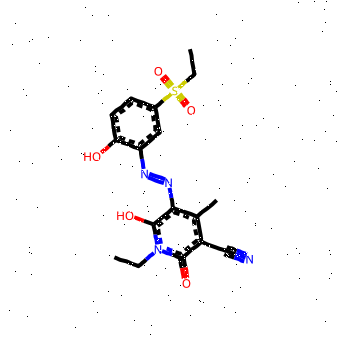 CCn1c(O)c(N=Nc2cc(S(=O)(=O)CC)ccc2O)c(C)c(C#N)c1=O